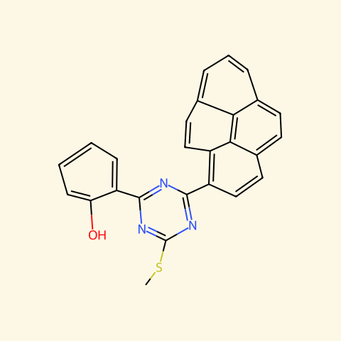 CSc1nc(-c2ccccc2O)nc(-c2ccc3ccc4cccc5ccc2c3c45)n1